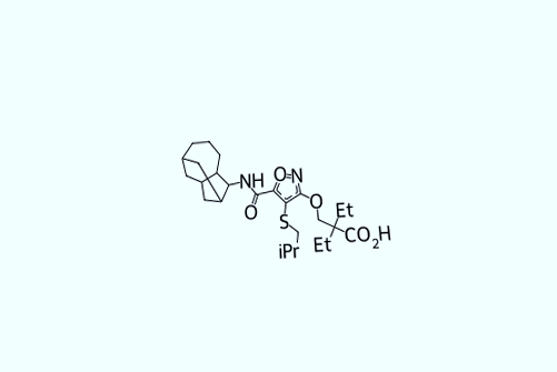 CCC(CC)(COc1noc(C(=O)NC2C3CC4CCCC2C(C4)C3)c1SCC(C)C)C(=O)O